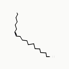 CCCCCCCCCCC/C=C\CCCCC[O]